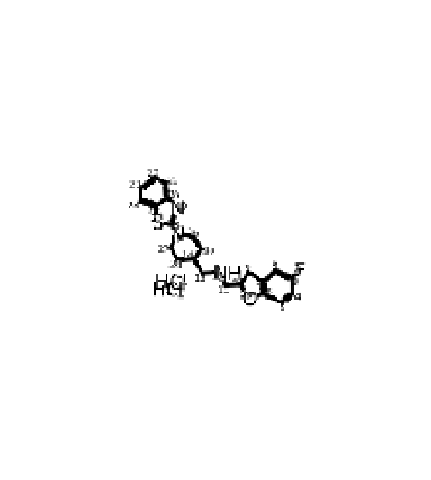 Cl.Cl.Fc1ccc2c(c1)CC(CNCC1CCN(c3nc4ccccc4s3)CC1)O2